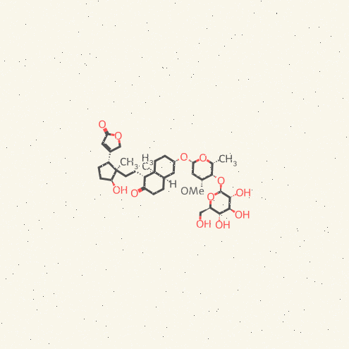 CO[C@@H]1C[C@H](O[C@H]2CC[C@@]3(C)[C@H](CCC(=O)[C@@H]3CC[C@]3(C)[C@@H](C4=CC(=O)OC4)CC[C@@H]3O)C2)O[C@H](C)[C@@H]1O[C@@H]1O[C@H](CO)[C@@H](O)[C@H](O)[C@H]1O